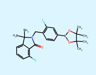 BC1(B)c2cccc(F)c2C(=O)N1Cc1ccc(B2OC(C)(C)C(C)(C)O2)cc1F